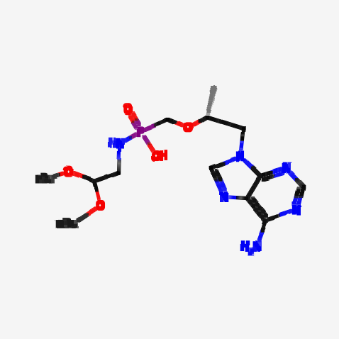 CCCCOC(CNP(=O)(O)CO[C@H](C)Cn1cnc2c(N)ncnc21)OCCCC